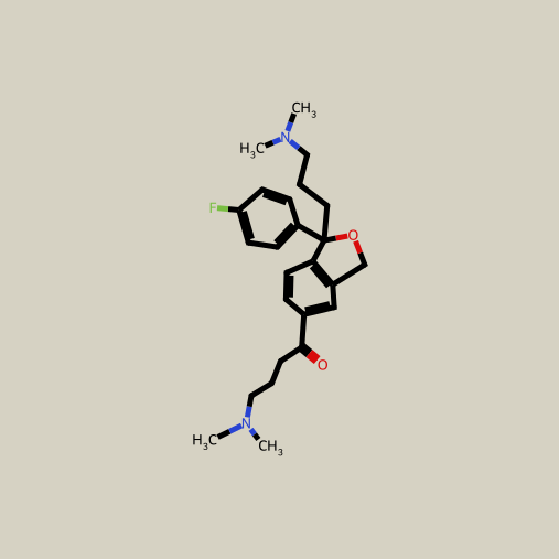 CN(C)CCCC(=O)c1ccc2c(c1)COC2(CCCN(C)C)c1ccc(F)cc1